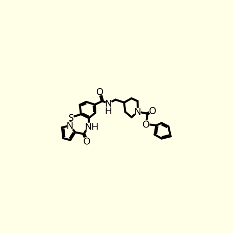 O=C(NCC1CCN(C(=O)Oc2ccccc2)CC1)c1ccc2c(c1)NC(=O)c1cccn1S2